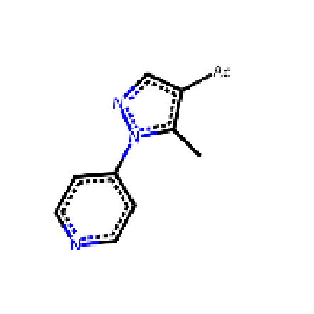 CC(=O)c1cnn(-c2ccncc2)c1C